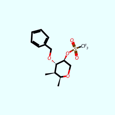 C[C@H]1[C@H](OCc2ccccc2)[C@@H](OS(=O)(=O)C(F)(F)F)CO[C@H]1C